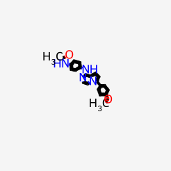 COc1ccc(-c2ccc3c(Nc4ccc(NC(C)=O)cc4)nccn23)cc1